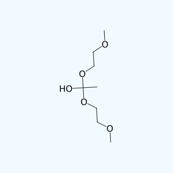 COCCOC(C)(O)OCCOC